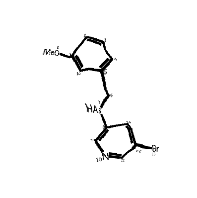 COc1cccc(C[AsH]c2cncc(Br)c2)c1